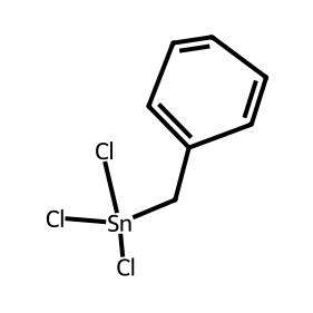 [Cl][Sn]([Cl])([Cl])[CH2]c1ccccc1